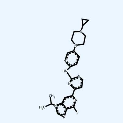 CC(C)n1cnc2c(F)nc(-c3ccnc(Nc4ccc(N5CCN(C6CC6)CC5)cn4)n3)cc21